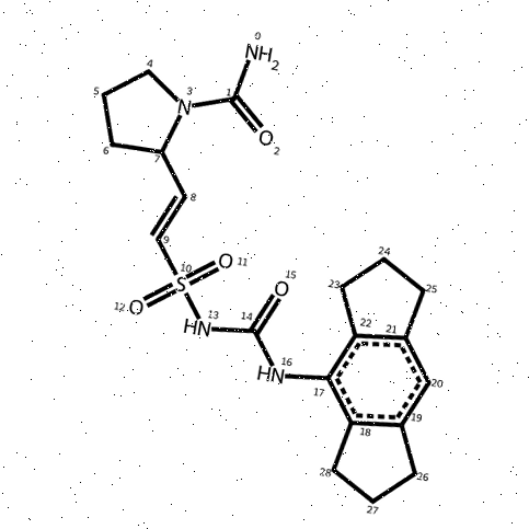 NC(=O)N1CCCC1C=CS(=O)(=O)NC(=O)Nc1c2c(cc3c1CCC3)CCC2